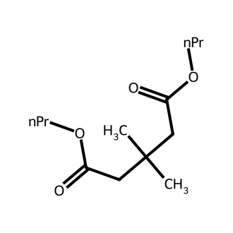 CCCOC(=O)CC(C)(C)CC(=O)OCCC